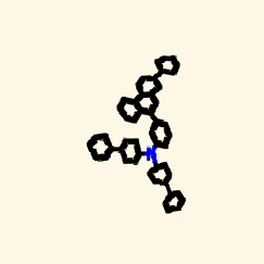 c1ccc(-c2ccc(N(c3ccc(-c4ccccc4)cc3)c3cccc(-c4cc5cc(-c6ccccc6)ccc5c5ccccc45)c3)cc2)cc1